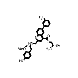 COC[C@H](Cc1ccc(O)cc1)NCc1cc(C(=O)OC[C@@H](N)C(C)C)c2cc(-c3cccc(C(F)(F)F)c3)ccc2n1